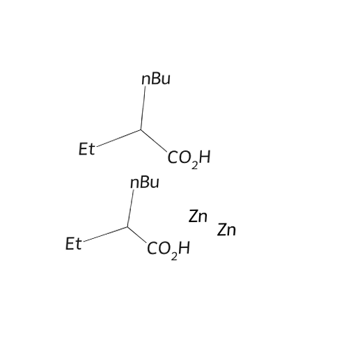 CCCCC(CC)C(=O)O.CCCCC(CC)C(=O)O.[Zn].[Zn]